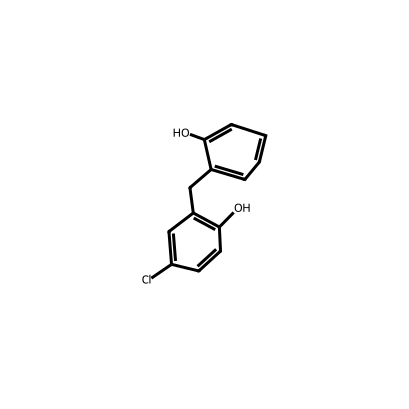 Oc1ccccc1Cc1cc(Cl)ccc1O